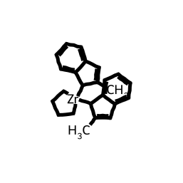 CC1=Cc2ccccc2[CH]1[Zr]1([CH]2C(C)=Cc3ccccc32)[CH2]CC[CH2]1